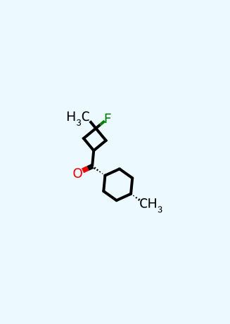 CC1(F)CC(C(=O)[C@H]2CC[C@@H](C)CC2)C1